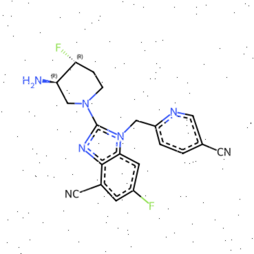 N#Cc1ccc(Cn2c(N3CC[C@@H](F)[C@H](N)C3)nc3c(C#N)cc(F)cc32)nc1